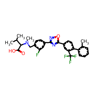 Cc1ccccc1-c1ccc(-c2nc(-c3ccc(CN(C)C(C(=O)O)C(C)C)c(F)c3)no2)cc1C(F)(F)F